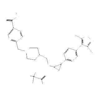 Cc1noc(C)c1-c1ccc(C2CC2NCC2CCN(Cc3ccc(C(=O)NO)cn3)CC2)cc1.O=C(O)C(F)(F)F